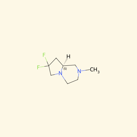 CN1CCN2CC(F)(F)C[C@H]2C1